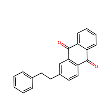 O=C1c2ccccc2C(=O)c2cc(CCc3ccccc3)ccc21